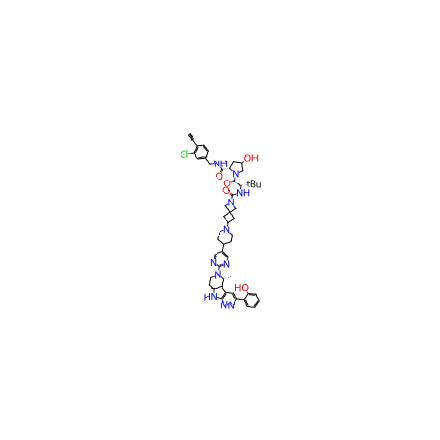 C#Cc1ccc(CNC(=O)[C@@H]2C[C@@H](O)CN2C(=O)[C@@H](NC(=O)N2CC3(CC(N4CCC(c5cnc(N6CCC7Nc8nnc(-c9ccccc9O)cc8C7[C@H]6C)nc5)CC4)C3)C2)C(C)(C)C)cc1Cl